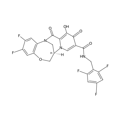 O=C(NCc1c(F)cc(F)cc1F)c1cn2c(c(O)c1=O)C(=O)N1C[C@@H]2COc2cc(F)c(F)cc21